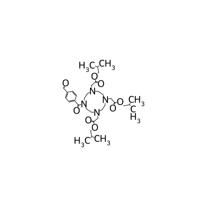 CC(C)COC(=O)CN1CCN(CC(=O)OCC(C)C)CCN(C(=O)c2ccc(C=O)cc2)CCN(CC(=O)OCC(C)C)CC1